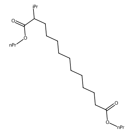 CCCOC(=O)CCCCCCCCCCC(C(=O)OCCC)C(C)C